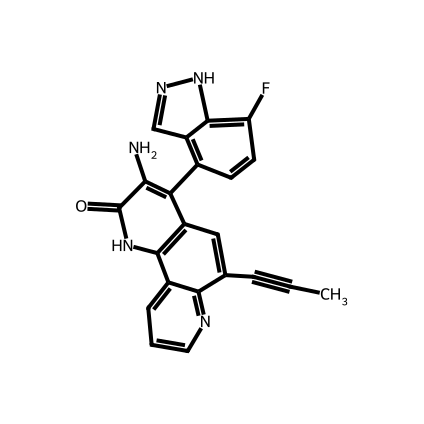 CC#Cc1cc2c(-c3ccc(F)c4[nH]ncc34)c(N)c(=O)[nH]c2c2cccnc12